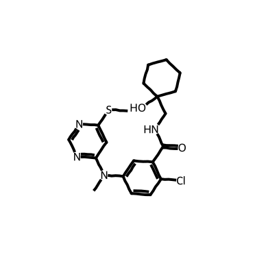 CSc1cc(N(C)c2ccc(Cl)c(C(=O)NCC3(O)CCCCC3)c2)ncn1